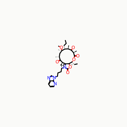 CCC[C@@H]1[C@@H](C)C(=O)[C@@H](C)C(=O)O[C@H](CC)[C@@]2(C)OC(=O)N(CCCCn3cnc4cccnc43)[C@@H]2[C@@H](C)C(=O)[C@H](C)C[C@@]1(C)OC